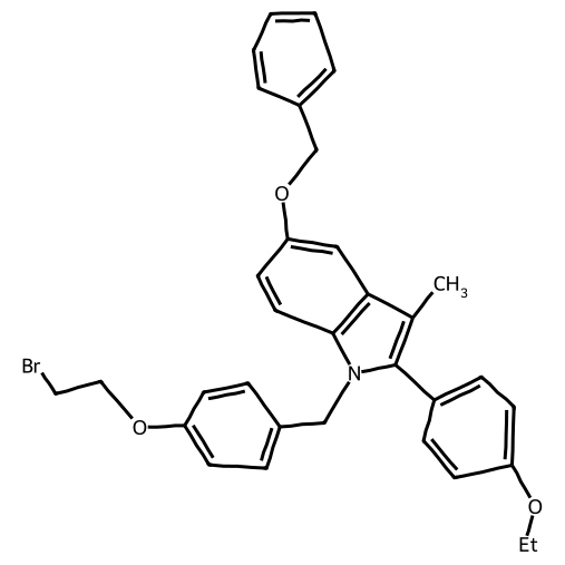 CCOc1ccc(-c2c(C)c3cc(OCc4ccccc4)ccc3n2Cc2ccc(OCCBr)cc2)cc1